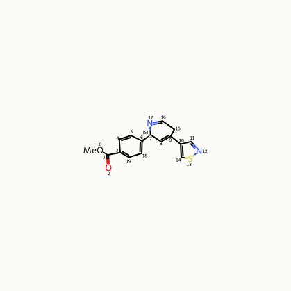 COC(=O)c1ccc([C@@H]2C=C(c3cnsc3)CC=N2)cc1